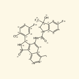 Cc1nncc2c3c(c(NC(=O)N4CC(O)(C(F)(F)F)c5cc(F)ccc54)cc12)C(c1cc(F)ccc1Cl)NC3=O